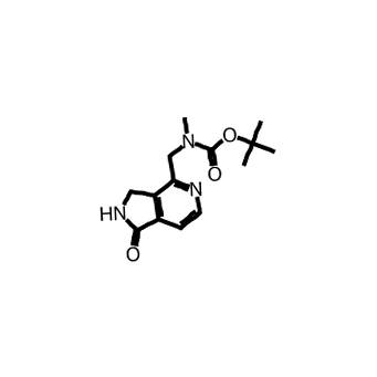 CN(Cc1nccc2c1CNC2=O)C(=O)OC(C)(C)C